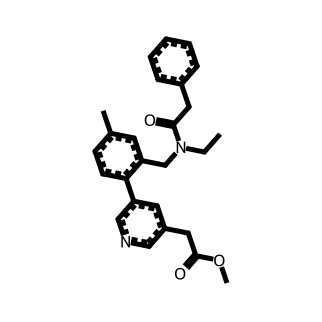 CCN(Cc1cc(C)ccc1-c1cncc(CC(=O)OC)c1)C(=O)Cc1ccccc1